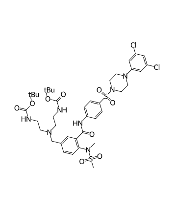 CN(c1ccc(CN(CCNC(=O)OC(C)(C)C)CCNC(=O)OC(C)(C)C)cc1C(=O)Nc1ccc(S(=O)(=O)N2CCN(c3cc(Cl)cc(Cl)c3)CC2)cc1)S(C)(=O)=O